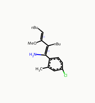 CCCC/C=C(OC)/C(CCCC)=C(\N)c1ccc(Cl)cc1C